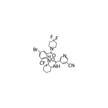 N#Cc1cncc(C(=O)N[C@H]2CCCC[C@H]2Nc2c(C(=O)N3CCC(F)(F)CC3)cc(Br)cc2C(F)(F)F)c1